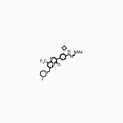 CN/C=N\Nc1ccc(-c2cnc3c(C(F)(F)F)cc(CN4CCC[C@H](C)C4)cn3c2=O)cc1[C@H]1C[C@@H](C)C1